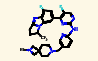 CCN1CC2(CCN(Cc3ccc(Nc4ncc(F)c(-c5cc(F)c6nc7n(c6c5)C(C(F)(F)F)CC7)n4)nc3)CC2)C1